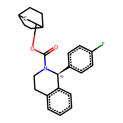 O=C(OC1CC2CCC1CC2)N1CCc2ccccc2[C@@H]1c1ccc(F)cc1